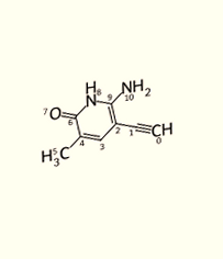 C#Cc1cc(C)c(=O)[nH]c1N